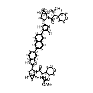 COC(=O)N[C@H](C(=O)N1[C@@H]2C[C@H]2C[C@H]1c1nc2cc(-c3ccc4cc(-c5[nH]c([C@@H]6C[C@H]7C[C@H]7N6C(=O)[C@H](C6CCOCC6)N(C)C(=O)O)nc5Cl)ccc4c3)ccc2[nH]1)C1CCOCC1